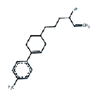 C=CC(CCC)CCCC1CC=C(c2ccc(C(F)(F)F)cc2)CC1